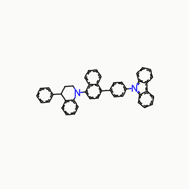 c1ccc(C2CCN(c3ccc(-c4ccc(-n5c6ccccc6c6ccccc65)cc4)c4ccccc34)c3ccccc32)cc1